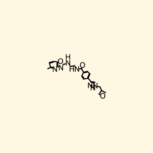 Cc1ccc2oc(NCCNC(=O)c3ccc(-c4cn(CC5COC5)nn4)cc3)nc2n1